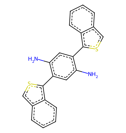 Nc1cc(-c2scc3ccccc23)c(N)cc1-c1scc2ccccc12